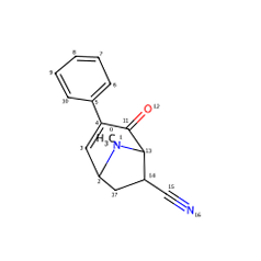 CN1C2C=C(c3ccccc3)C(=O)C1C(C#N)C2